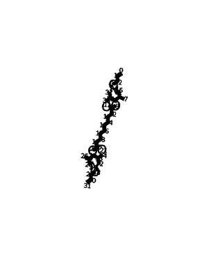 C=CCON1CC(C)C(OC(=O)CCCCCCCCC(=O)OC2C(C)CN(OCC=C)CC2C)C(C)C1